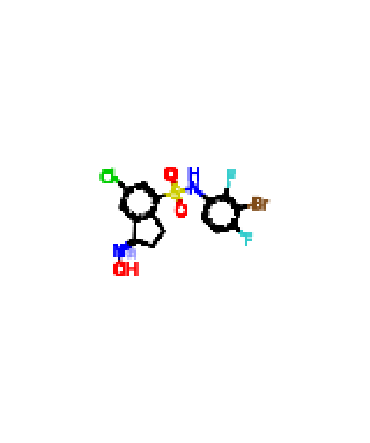 O=S(=O)(Nc1ccc(F)c(Br)c1F)c1cc(Cl)cc2c1CC/C2=N\O